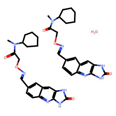 CN(C(=O)CON=Cc1ccc2nc3[nH]c(=O)[nH]c3cc2c1)C1CCCCC1.CN(C(=O)CON=Cc1ccc2nc3[nH]c(=O)[nH]c3cc2c1)C1CCCCC1.O